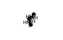 N=C(Nc1cccc(NC(=N)c2cccs2)c1)c1cccs1